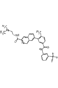 Cc1ccc(C(=O)Nc2cccc(C(F)(F)F)c2)cc1-c1ccc2cc(C(=O)NCCN(C)C)ncc2c1